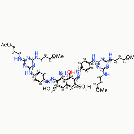 COCCCNc1nc(NCCCOC)nc(Nc2ccc(/N=N/c3c(S(=O)(=O)O)cc4cc(S(=O)(=O)O)c(/N=N/c5ccc(Nc6nc(NCCCOC)nc(NCCCOC)n6)cc5)c(O)c4c3N)cc2)n1